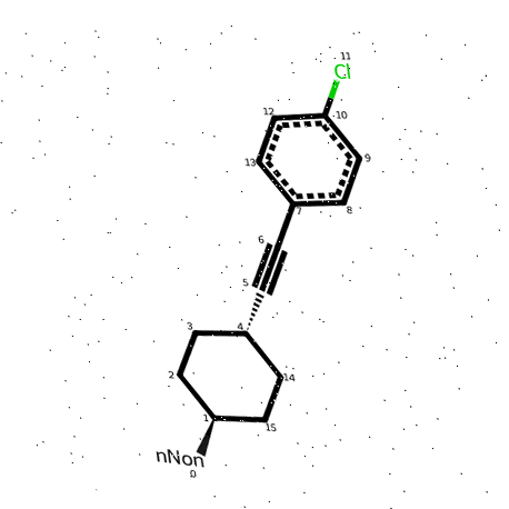 CCCCCCCCC[C@H]1CC[C@H](C#Cc2ccc(Cl)cc2)CC1